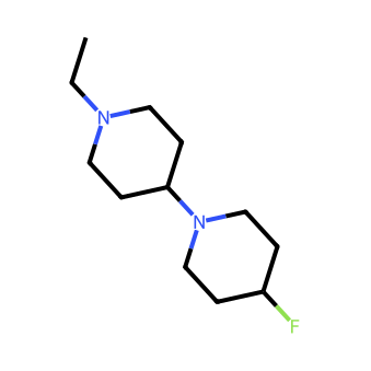 CCN1CCC(N2CCC(F)CC2)CC1